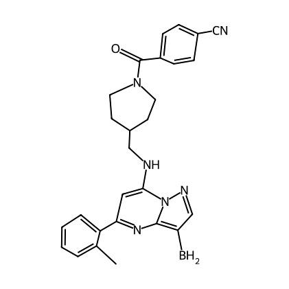 Bc1cnn2c(NCC3CCN(C(=O)c4ccc(C#N)cc4)CC3)cc(-c3ccccc3C)nc12